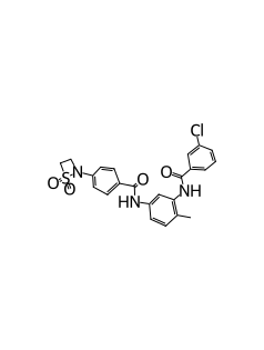 Cc1ccc(NC(=O)c2ccc(N3CCS3(=O)=O)cc2)cc1NC(=O)c1cccc(Cl)c1